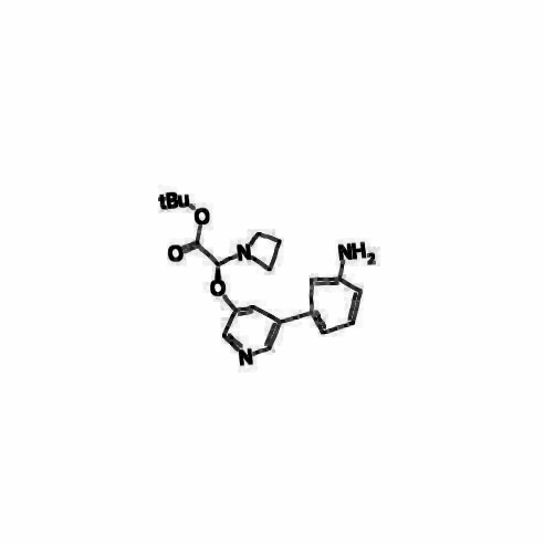 CC(C)(C)OC(=O)[C@H](Oc1cncc(-c2cccc(N)c2)c1)N1CCC1